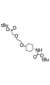 CC(C)(C)OC(=O)COCCO[C@H]1CC[C@H](NC(=O)OC(C)(C)C)CC1